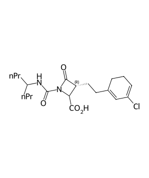 CCCC(CCC)NC(=O)N1C(=O)[C@H](CCC2=CC(Cl)=CCC2)C1C(=O)O